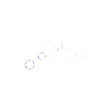 Cc1ccc(-c2nc(CS(=O)(=O)CC(=O)NCCN(CC(C)C)CC(C)C)c(C)o2)cc1